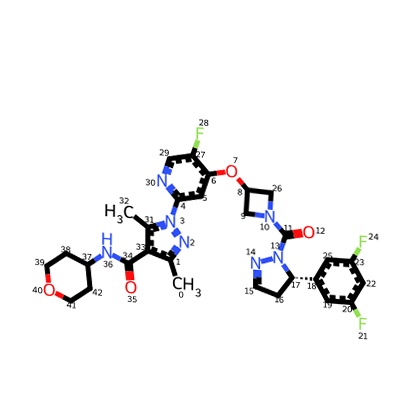 Cc1nn(-c2cc(OC3CN(C(=O)N4N=CC[C@H]4c4cc(F)cc(F)c4)C3)c(F)cn2)c(C)c1C(=O)NC1CCOCC1